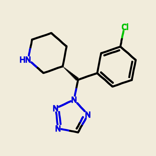 Clc1cccc(C([C@H]2CCCNC2)n2ncnn2)c1